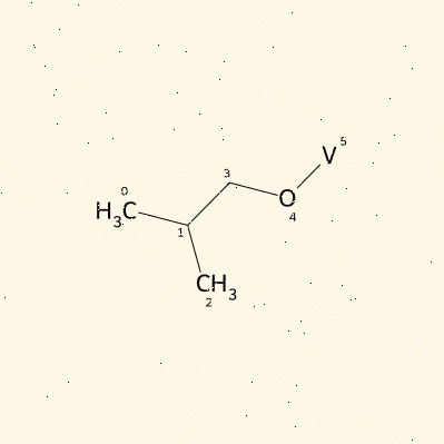 CC(C)C[O][V]